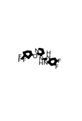 Fc1cc2nc(Nc3cccnc3Oc3cccc(C(F)(F)F)c3)[nH]c2cc1F